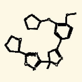 COc1ccc(C2=NOC(C)(c3noc(C4CCCO4)n3)C2)cc1OC1CCCC1